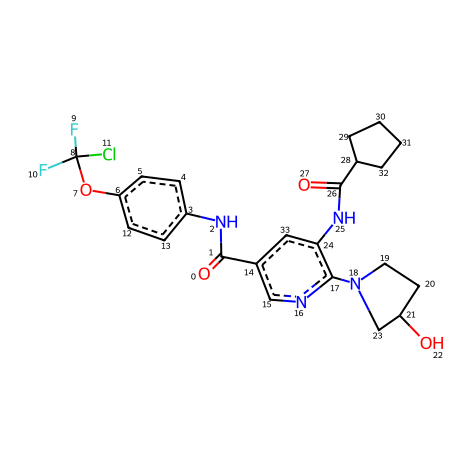 O=C(Nc1ccc(OC(F)(F)Cl)cc1)c1cnc(N2CCC(O)C2)c(NC(=O)C2CCCC2)c1